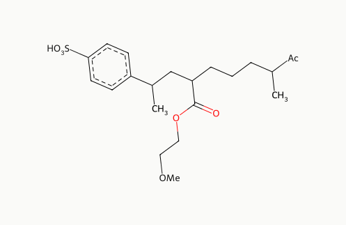 COCCOC(=O)C(CCCC(C)C(C)=O)CC(C)c1ccc(S(=O)(=O)O)cc1